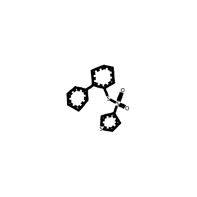 O=S(=O)(Sc1ccccc1-c1ccccc1)c1ccsc1